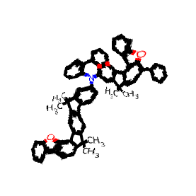 CC1(C)c2cc(N(c3ccc4c(c3)C(C)(C)c3cc(-c5ccccc5)c5oc6ccccc6c5c3-4)c3ccccc3-c3ccccc3)ccc2-c2cc3c(cc21)-c1c(ccc2c1oc1ccccc12)C3(C)C